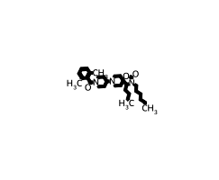 CCCCCCN1C(=O)OC2(CCN(C3CCN(C(=O)c4c(C)cccc4C)CC3)CC2)C1CCCC